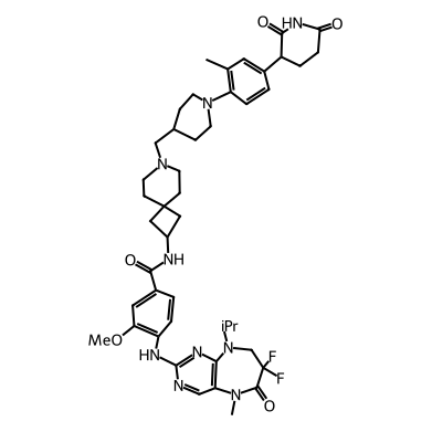 COc1cc(C(=O)NC2CC3(CCN(CC4CCN(c5ccc(C6CCC(=O)NC6=O)cc5C)CC4)CC3)C2)ccc1Nc1ncc2c(n1)N(C(C)C)CC(F)(F)C(=O)N2C